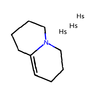 C1=C2CCCCN2CCC1.[Hs].[Hs].[Hs]